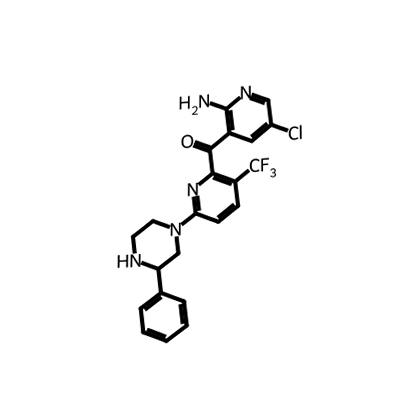 Nc1ncc(Cl)cc1C(=O)c1nc(N2CCNC(c3ccccc3)C2)ccc1C(F)(F)F